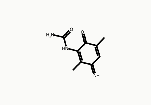 CC1=CC(=N)C(C)=C(NC(N)=O)C1=O